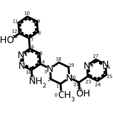 CC1CN(c2cc(-c3ccccc3O)nnc2N)CCN1C(O)c1ccncn1